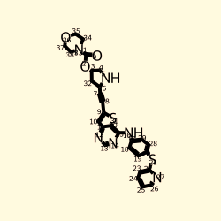 O=C(OC1CNC(C#Cc2cc3ncnc(Nc4ccc(Sc5ccccn5)cc4)c3s2)C1)N1CCOCC1